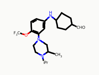 CC(C)N1CCN(c2cc(NC3CCC(C=O)CC3)ccc2OC(F)(F)F)CC1C